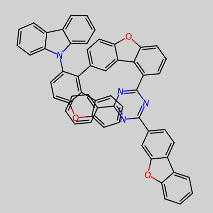 c1ccc(-c2nc(-c3ccc4c(c3)oc3ccccc34)nc(-c3cccc4oc5ccc(-c6c(-n7c8ccccc8c8ccccc87)ccc7oc8ccccc8c67)cc5c34)n2)cc1